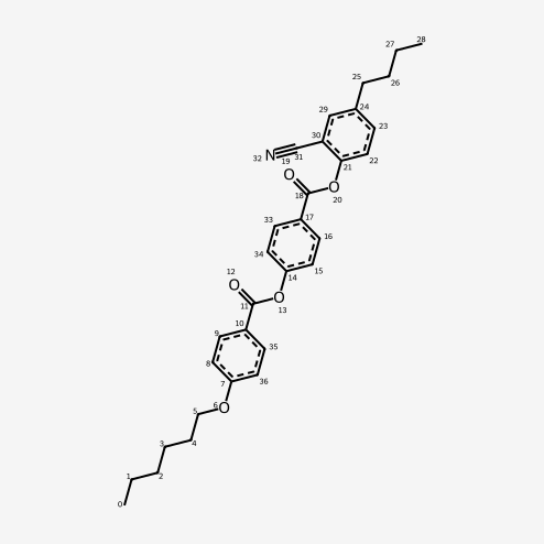 CCCCCCOc1ccc(C(=O)Oc2ccc(C(=O)Oc3ccc(CCCC)cc3C#N)cc2)cc1